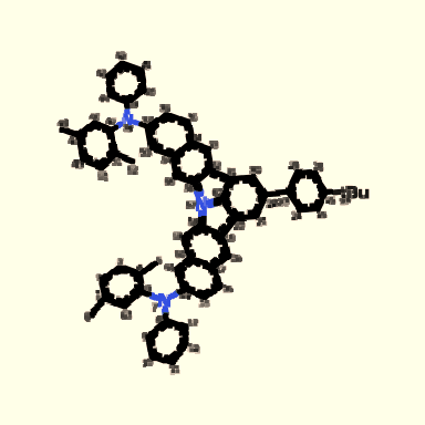 Cc1ccc(C)c(N(c2ccccc2)c2ccc3cc4c5cc(-c6ccc(C(C)(C)C)cc6)cc6c7cc8ccc(N(c9ccccc9)c9cc(C)ccc9C)cc8cc7n(c4cc3c2)c56)c1